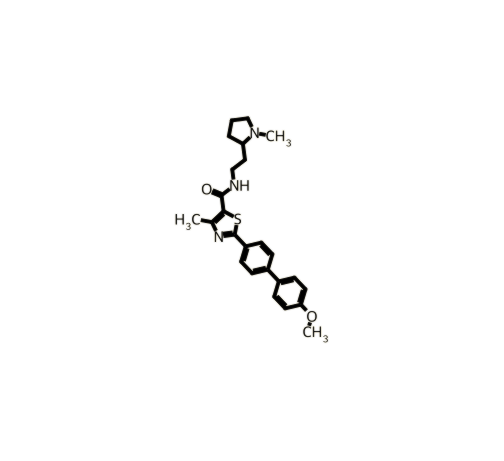 COc1ccc(-c2ccc(-c3nc(C)c(C(=O)NCCC4CCCN4C)s3)cc2)cc1